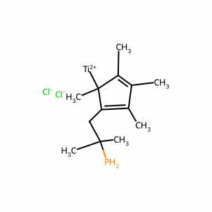 CC1=C(C)[C](C)([Ti+2])C(CC(C)(C)P)=C1C.[Cl-].[Cl-]